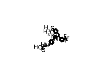 Cc1ccc(CC(c2cccc(C(F)(F)F)c2)c2nc(-c3ccc(CNCCC(=O)O)cc3)no2)cc1C